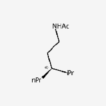 CCC[C@@H](CCNC(C)=O)C(C)C